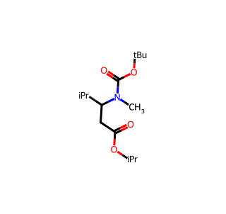 CC(C)OC(=O)CC(C(C)C)N(C)C(=O)OC(C)(C)C